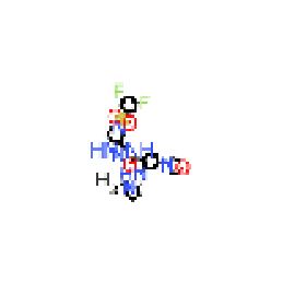 CN1CCC[C@H]1CNc1cc(N2CCOCC2)ccc1C(=O)Nc1n[nH]c2c1CN(S(=O)(=O)c1cc(F)cc(F)c1)CC2